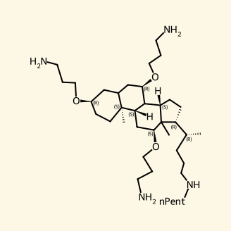 CCCCCNCCC[C@@H](C)[C@H]1CC[C@H]2C3[C@H](OCCCN)CC4C[C@H](OCCCN)CC[C@]4(C)[C@H]3C[C@H](OCCCN)C12C